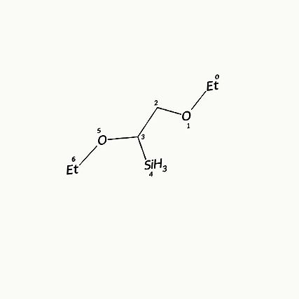 CCOCC([SiH3])OCC